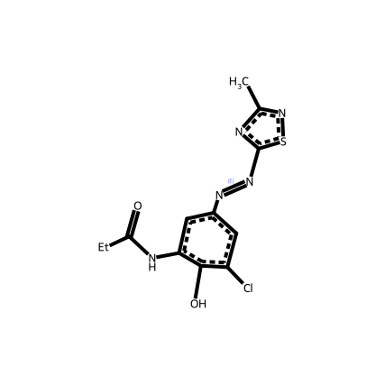 CCC(=O)Nc1cc(/N=N/c2nc(C)ns2)cc(Cl)c1O